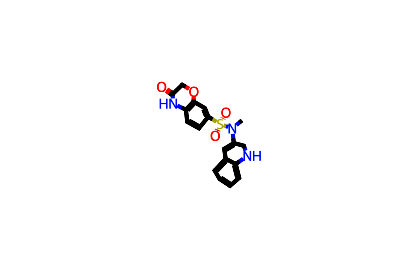 CN(C1=Cc2ccccc2NC1)S(=O)(=O)c1ccc2c(c1)OCC(=O)N2